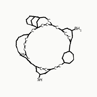 BC1CC2CCC(C1)C1CCCC(CCC3CCC(CC(S)C3)C3CCCCCCCC(CCCC(S)C3)CC34CCC(CCC(C3)C3CCCC4C3)C2)CC1